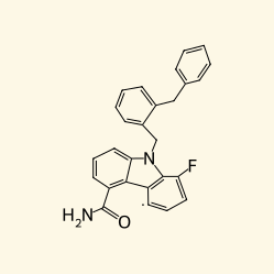 NC(=O)c1cccc2c1c1[c]ccc(F)c1n2Cc1ccccc1Cc1ccccc1